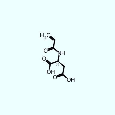 C=CC(=O)N[C@@H](CC(=O)O)C(=O)O